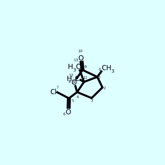 CC12CCC(C(=O)Cl)(OC1=O)C2(C)C